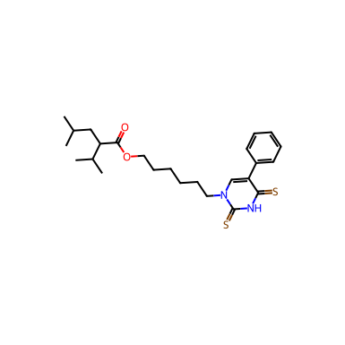 CC(C)CC(C(=O)OCCCCCCn1cc(-c2ccccc2)c(=S)[nH]c1=S)C(C)C